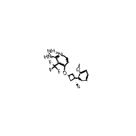 COc1ccccc1[C@]1(C#N)C[C@@H](Oc2ccnc(NN)c2C(F)(F)F)C1